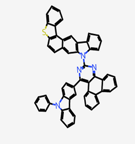 c1ccc(-n2c3ccccc3c3cc(-c4nc(-n5c6ccccc6c6cc7c(ccc8sc9ccccc9c87)cc65)nc5c6ccccc6c6ccccc6c45)ccc32)cc1